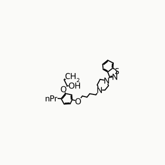 C=CC(O)Oc1cc(OCCCCN2CCN(c3nsc4ccccc34)CC2)ccc1CCC